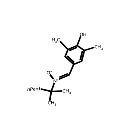 CCCCCC(C)(C)[N+]([O-])=Cc1cc(C)c(O)c(C)c1